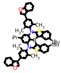 Cc1cc(-c2coc3ccccc23)cc(C)c1N1c2cc(C(C)C)cc3c2B(c2c1sc1ccc(C(C)(C)C)cc21)c1c(sc2ccc(C(C)(C)C)cc12)N3c1c(C)cc(-c2coc3ccccc23)cc1C